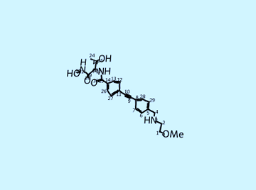 COCCNCc1ccc(C#Cc2ccc(C(=O)N[C@H](C(=O)NO)[C@@H](C)O)cc2)cc1